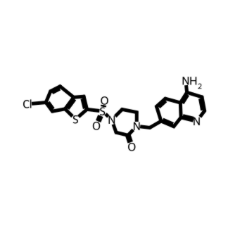 Nc1ccnc2cc(CN3CCN(S(=O)(=O)c4cc5ccc(Cl)cc5s4)CC3=O)ccc12